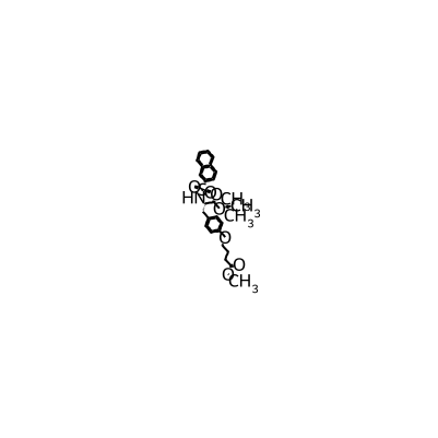 COC(=O)CCCOc1ccc(C[C@H](NS(=O)(=O)c2ccc3ccccc3c2)C(=O)OC(C)(C)C)cc1